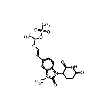 CC(O/C=C/c1ccc2c(c1)n(C)c(=O)n2C1CCC(=O)NC1=O)OS(C)(=O)=O